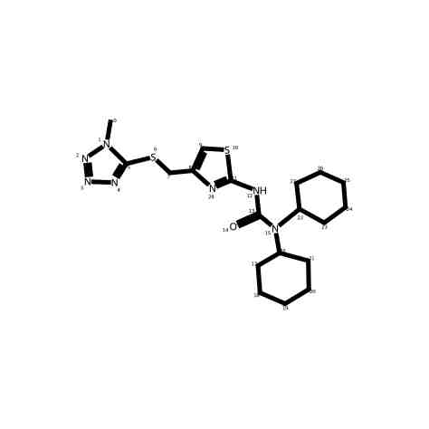 Cn1nnnc1SCc1csc(NC(=O)N(C2CCCCC2)C2CCCCC2)n1